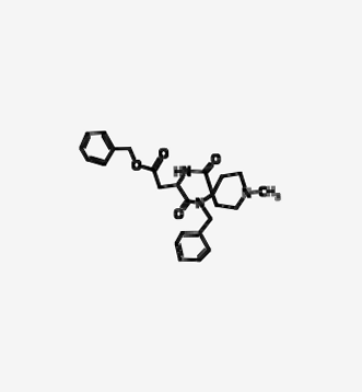 CN1CCC2(CC1)C(=O)NC(CC(=O)OCc1ccccc1)C(=O)N2Cc1ccccc1